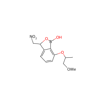 COCC(C)Oc1cccc2c1B(O)OC2C[N+](=O)[O-]